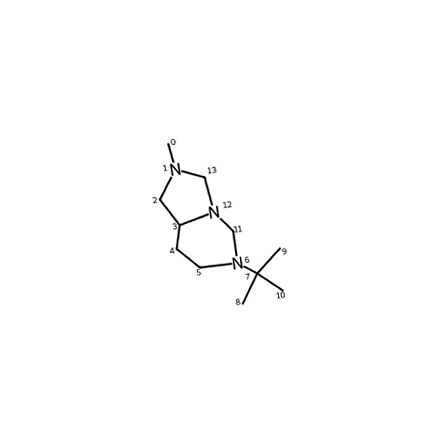 CN1CC2CCN(C(C)(C)C)CN2C1